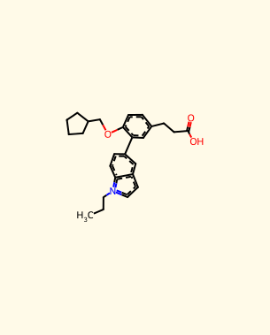 CCCn1ccc2cc(-c3cc(CCC(=O)O)ccc3OCC3CCCC3)ccc21